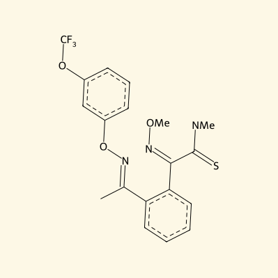 CNC(=S)C(=NOC)c1ccccc1C(C)=NOc1cccc(OC(F)(F)F)c1